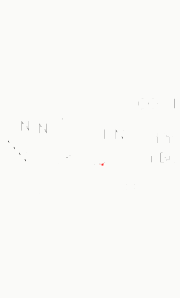 CCCCC(=O)C(N[C@H](C(=O)O)C(C)C)c1ccc(-c2ccccc2)c(-c2nnnn2C(c2ccccc2)(c2ccccc2)c2ccccc2)c1